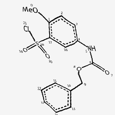 COc1ccc(NC(=O)OCc2ccccc2)cc1S(=O)(=O)Cl